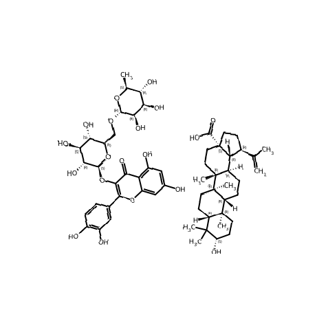 C=C(C)[C@@H]1CC[C@]2(C(=O)O)CC[C@]3(C)[C@H](CC[C@@H]4[C@@]5(C)CC[C@H](O)C(C)(C)[C@@H]5CC[C@]43C)[C@@H]12.C[C@@H]1O[C@@H](OC[C@H]2O[C@@H](Oc3c(-c4ccc(O)c(O)c4)oc4cc(O)cc(O)c4c3=O)[C@H](O)[C@@H](O)[C@@H]2O)[C@H](O)[C@H](O)[C@H]1O